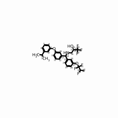 CC(C)c1cccc(Oc2cccc(C(NC[C@@H](O)C(F)(F)F)c3cccc(OC(F)(F)C(F)F)c3)c2)c1